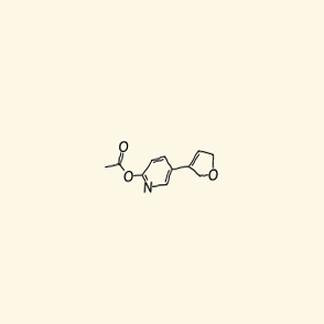 CC(=O)Oc1ccc(C2=CCOC2)cn1